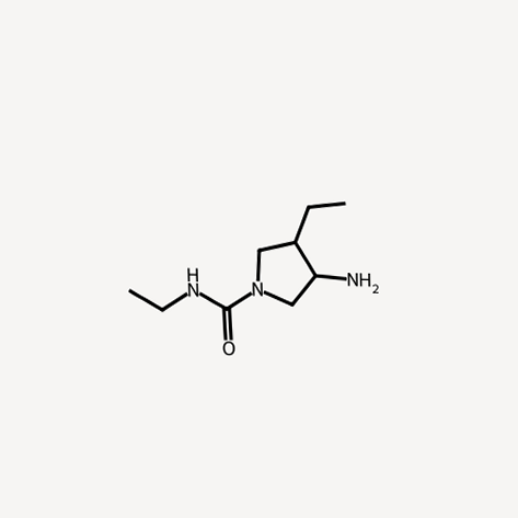 CCNC(=O)N1CC(N)C(CC)C1